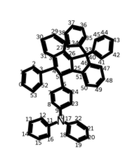 c1ccc(-c2c(-c3ccc(N(c4ccccc4)c4ccccc4)cc3)c3c(c4ccccc24)C(c2ccccc2)(c2ccccc2)c2ccccc2-3)cc1